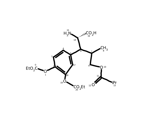 CCOC(=O)Oc1ccc(C(C(C)COC(=O)C(C)C)[C@H](N)C(=O)O)cc1OC(=O)OCC